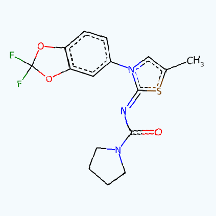 Cc1cn(-c2ccc3c(c2)OC(F)(F)O3)/c(=N/C(=O)N2CCCC2)s1